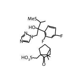 CC1(C)C2CCC1(CS(=O)(=O)O)C(=O)C2.CSC(C)C(O)(Cn1cncn1)c1ccc(F)cc1F